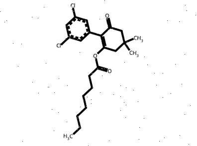 CCCCCCCC(=O)OC1=C(c2cc(Cl)cc(Cl)c2)C(=O)CC(C)(C)C1